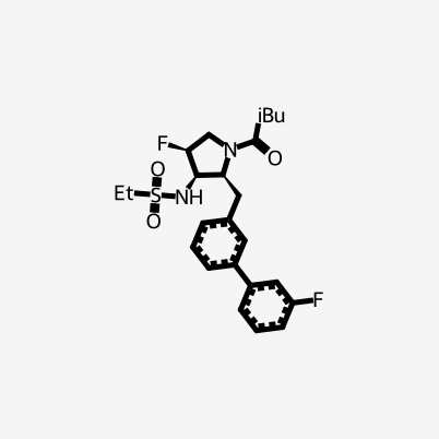 CCC(C)C(=O)N1C[C@H](F)[C@H](NS(=O)(=O)CC)[C@@H]1Cc1cccc(-c2cccc(F)c2)c1